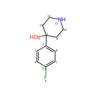 OC1(c2ccc(F)cc2)CCNCC1